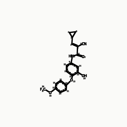 N#CC(=CC1CC1)C(=O)Nc1ccc(Oc2ccc(OC(F)(F)F)cc2)c(O)c1